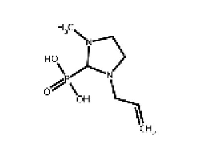 C=CCN1CCN(C)C1P(=O)(O)O